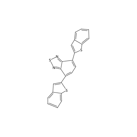 c1ccc2sc(-c3ccc(-c4cc5ccccc5s4)c4nsnc34)cc2c1